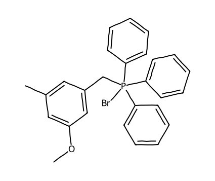 COc1cc(C)cc(CP(Br)(c2ccccc2)(c2ccccc2)c2ccccc2)c1